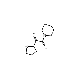 O=C(C(=O)N1CCCCC1)C1CCC[N]1